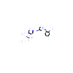 CC[C@H]1C(=O)Nc2c(cc(NCc3cnn(Cc4ccc(F)cc4C#N)c3)nc2C)N1C